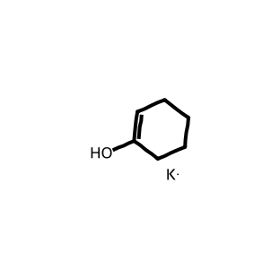 OC1=CCCCC1.[K]